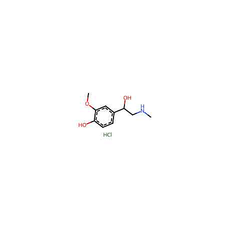 CNCC(O)c1ccc(O)c(OC)c1.Cl